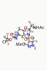 COc1nn(C)c(C)c1S(=O)(=O)N1C[C@H]([C@H](C)NC(C)=O)Oc2ccc(NC(=O)OC(C)(C)C(F)(F)F)cc21